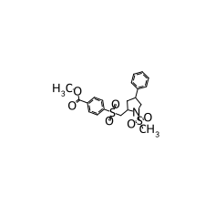 COC(=O)c1ccc(S(=O)(=O)CC2CC(c3ccccc3)CN2S(C)(=O)=O)cc1